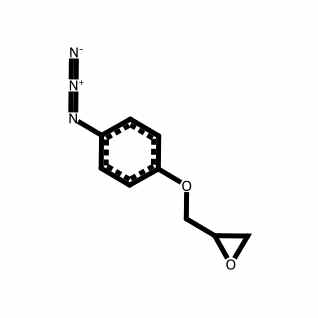 [N-]=[N+]=Nc1ccc(OCC2CO2)cc1